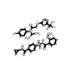 CC(C)N(C(=O)COc1nnc(C(F)(F)F)s1)c1ccc(F)cc1.COc1ccccc1C(=O)NS(=O)(=O)c1ccc(C(=O)NC2CC2)cc1